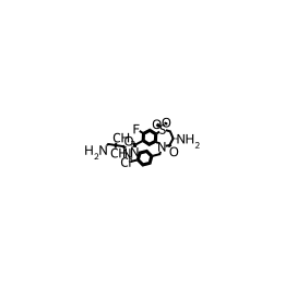 CC(C)(CN)c1nnc(-c2cc3c(cc2F)S(=O)(=O)C[C@H](N)C(=O)N3Cc2ccc(Cl)cc2)o1